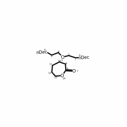 CCCCCCCCCCCCOCCCCCCCCCCCC.O=C1CCCCCO1